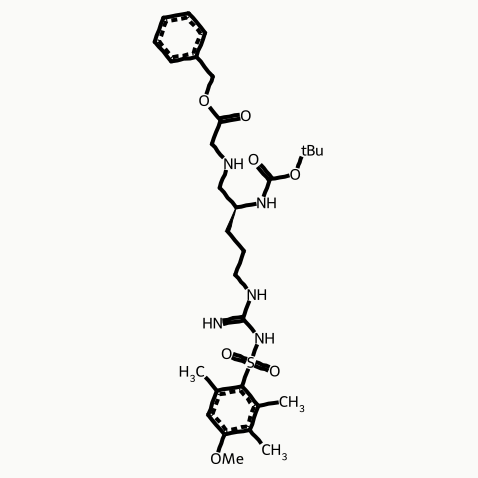 COc1cc(C)c(S(=O)(=O)NC(=N)NCCC[C@@H](CNCC(=O)OCc2ccccc2)NC(=O)OC(C)(C)C)c(C)c1C